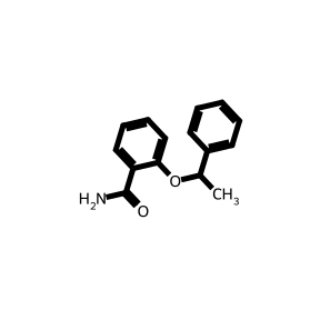 CC(Oc1ccccc1C(N)=O)c1ccccc1